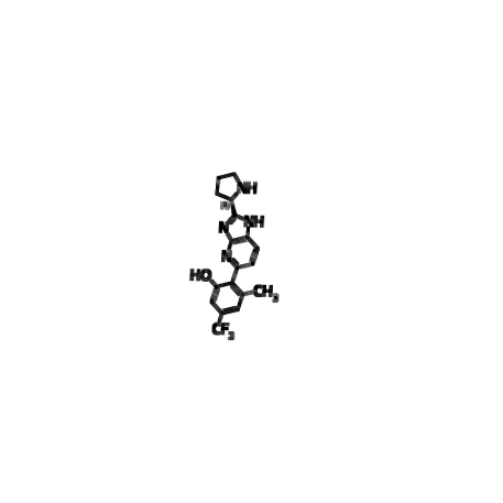 Cc1cc(C(F)(F)F)cc(O)c1-c1ccc2[nH]c([C@H]3CCCN3)nc2n1